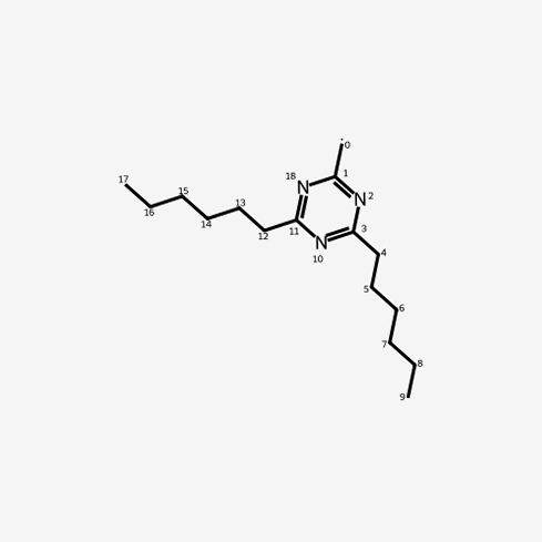 [CH2]c1nc(CCCCCC)nc(CCCCCC)n1